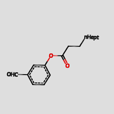 CCCCCCCCCC(=O)Oc1cccc(C=O)c1